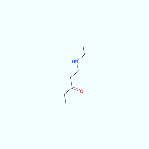 CCNCCC(=O)CC